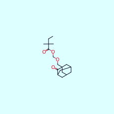 CCC(C)(C)C(=O)OCOCC12CC3CC(CC(C3)C1=O)C2